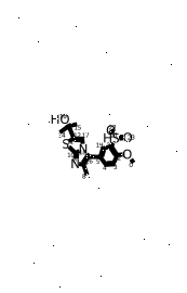 COc1ccc(-c2c(C)nc3sc(C(C)(C)O)cn23)cc1[SH](=O)=O